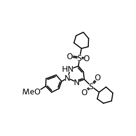 COc1ccc(N2N=C(S(=O)(=O)C3CCCCC3)C=C(S(=O)(=O)C3CCCCC3)N2)cc1